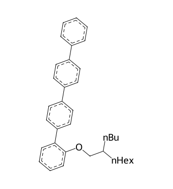 CCCCCCC(CCCC)COc1ccccc1-c1ccc(-c2ccc(-c3ccccc3)cc2)cc1